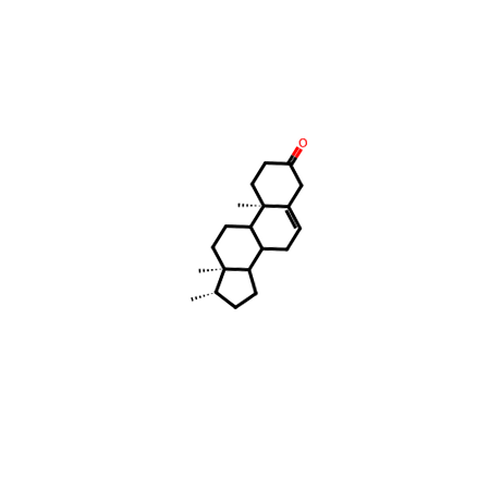 C[C@H]1CCC2C3CC=C4CC(=O)CC[C@]4(C)C3CC[C@@]21C